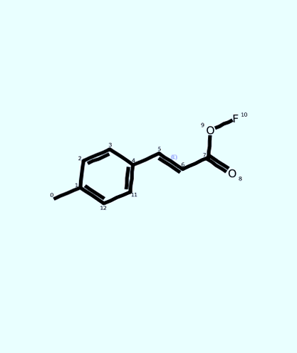 Cc1ccc(/C=C/C(=O)OF)cc1